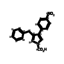 O=C(O)n1cc(-c2ccc([N+](=O)[O-])cc2)c(Cc2ccccc2)n1